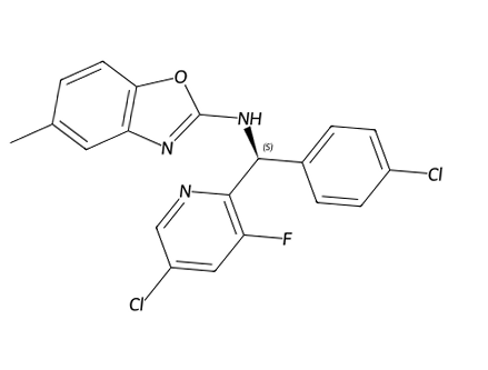 Cc1ccc2oc(N[C@@H](c3ccc(Cl)cc3)c3ncc(Cl)cc3F)nc2c1